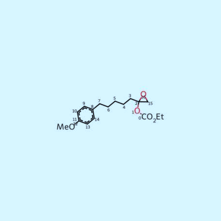 CCOC(=O)OC1(CCCCCc2ccc(OC)cc2)CO1